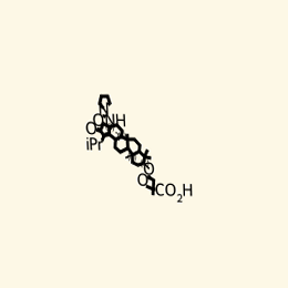 CC(C)C1=C2C3CCC4C(C)(CCC5C(C)(C)[C@@H](OC(=O)CC(C)(C)C(=O)O)CC[C@@]54C)[C@]3(C)CC[C@@]2(NC(=O)N2CCCC2)CC1=O